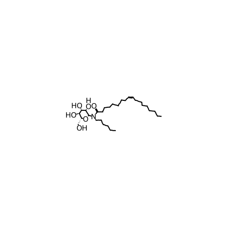 CCCCCCCC/C=C\CCCCCCCC(=O)N(CCCCCC)C1O[C@H](CO)[C@@H](O)[C@H](O)[C@H]1O